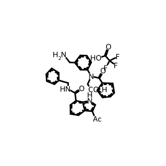 CC(=O)c1c[nH]c2c(C(=O)NCc3ccccc3)cccc12.NCc1cccc(N(CC(=O)O)C(=O)c2ccccc2)c1.O=C(O)C(F)(F)F